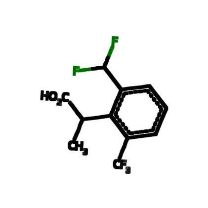 CC(C(=O)O)c1c(C(F)F)cccc1C(F)(F)F